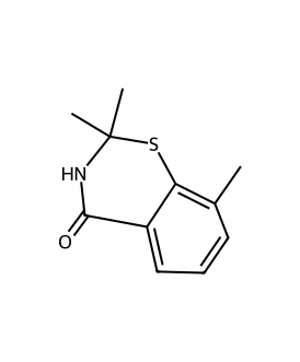 Cc1cccc2c1SC(C)(C)NC2=O